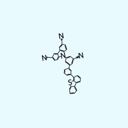 N#Cc1cc(-c2cccc(-c3cccc4c3sc3ccccc34)c2)cc(-n2c3ccc(C#N)cc3c3cc(C#N)ccc32)c1